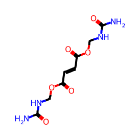 NC(=O)NCOC(=O)/C=C/C(=O)OCNC(N)=O